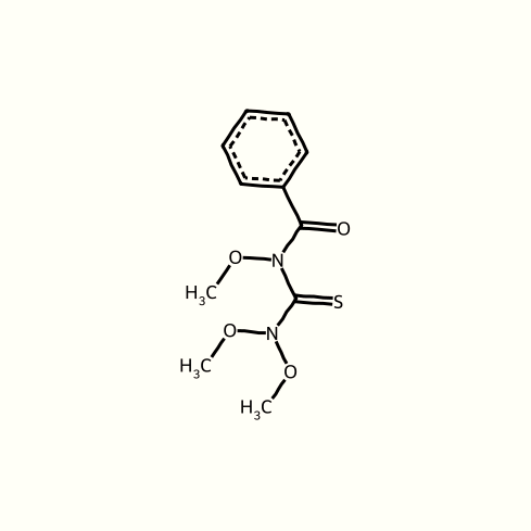 CON(OC)C(=S)N(OC)C(=O)c1ccccc1